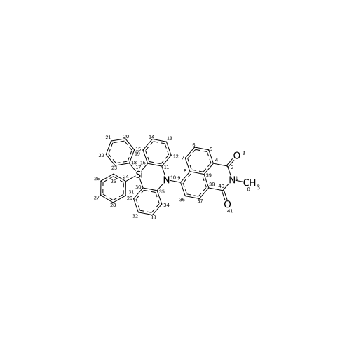 CN1C(=O)c2cccc3c(N4c5ccccc5[Si](c5ccccc5)(c5ccccc5)c5ccccc54)ccc(c23)C1=O